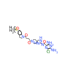 C=S(C)(=O)c1ccc2c(c1)CCN2C(=O)CCC(=O)N1CCC2(CC1)CN/C(=N\C(=O)c1nc(Cl)c(N)nc1N)N2